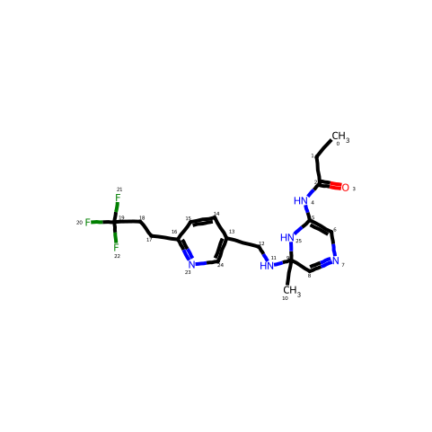 CCC(=O)NC1=CN=CC(C)(NCc2ccc(CCC(F)(F)F)nc2)N1